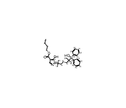 CCCCOC(=O)c1cnn(C(C)(C)CCCC(C)(C)[Si](O)(c2ccccc2)c2ccccc2)c1O